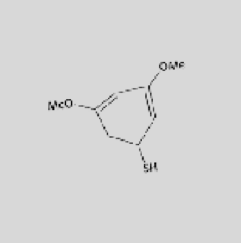 COC1=CC(S)CC(OC)=C1